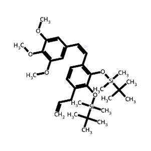 C=CCc1ccc(/C=C\c2cc(OC)c(OC)c(OC)c2)c(O[Si](C)(C)C(C)(C)C)c1O[Si](C)(C)C(C)(C)C